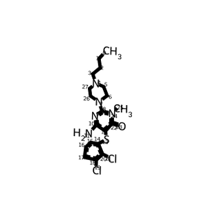 CCCCN1CCN(c2nc(N)c(Sc3cccc(Cl)c3Cl)c(=O)n2C)CC1